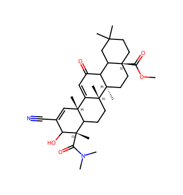 COC(=O)[C@]12CCC(C)(C)CC1C1C(=O)C=C3[C@@]4(C)C=C(C#N)C(O)[C@@](C)(C(=O)N(C)C)C4CC[C@@]3(C)[C@]1(C)CC2